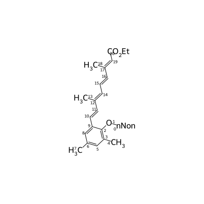 CCCCCCCCCOc1c(C)cc(C)cc1/C=C/C(C)=C/C=C/C(C)=C/C(=O)OCC